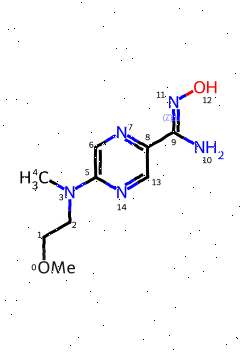 COCCN(C)c1cnc(/C(N)=N/O)cn1